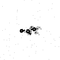 COc1cc2ncnc(Nc3ccc(OCc4ccccc4)cc3C(F)(F)F)c2cc1OC